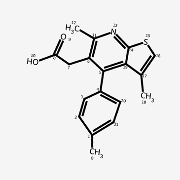 Cc1ccc(-c2c(CC(=O)O)c(C)nc3scc(C)c23)cc1